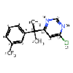 CC(C)(c1cccc(C(F)(F)F)c1)c1cc(Cl)ncn1